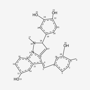 Cc1ccc(/C=c2\c3n(c4ccc(O)cc24)N(C)C(c2ccc(O)c(O)c2)C=3)cc1O